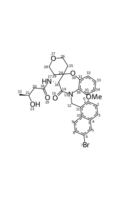 COc1ccc2cc(Br)ccc2c1CN1C(=O)[C@H](NC(=O)C[C@H](C)O)C2(CCOCC2)Oc2ccccc21